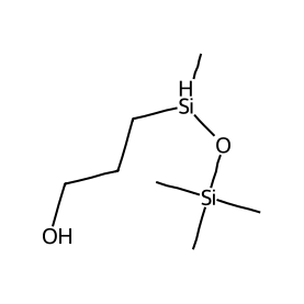 C[SiH](CCCO)O[Si](C)(C)C